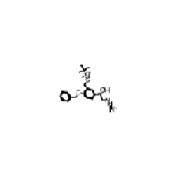 CC(C)(C)[Si](C)(C)OCc1cc([C@@H](O)CN=[N+]=[N-])ccc1OCc1ccccc1